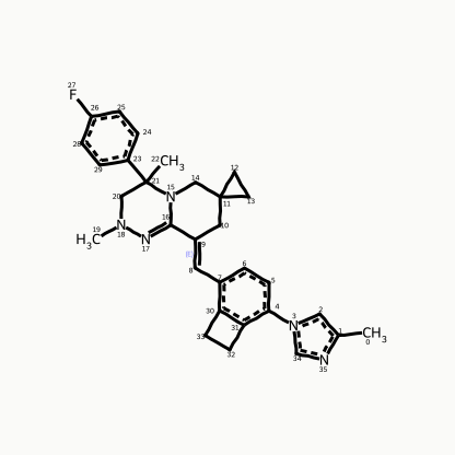 Cc1cn(-c2ccc(/C=C3\CC4(CC4)CN4C3=NN(C)CC4(C)c3ccc(F)cc3)c3c2CC3)cn1